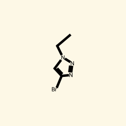 CCn1cc(Br)nn1